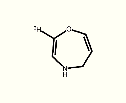 [2H]C1=CNCC=CO1